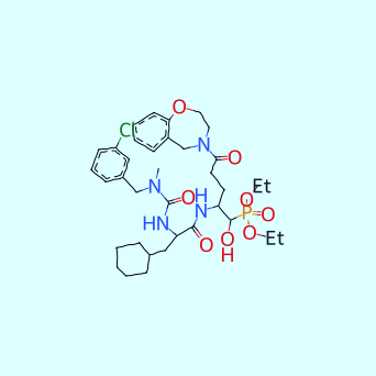 CCOP(=O)(OCC)C(O)C(CCC(=O)N1CCOc2ccccc2C1)NC(=O)C(CC1CCCCC1)NC(=O)N(C)Cc1cccc(Cl)c1